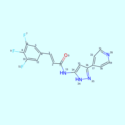 O=C(C=Cc1cc(F)c(F)c(F)c1)Nc1cc(-c2ccncc2)n[nH]1